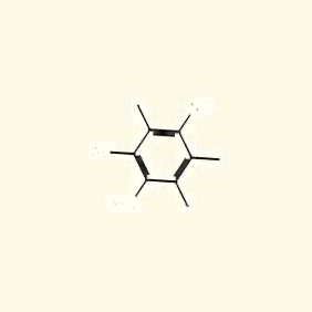 CC(=O)c1c(C)c(N=O)c(C)c(C)c1O